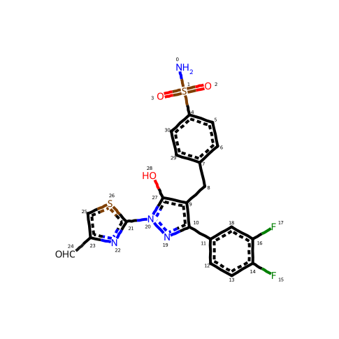 NS(=O)(=O)c1ccc(Cc2c(-c3ccc(F)c(F)c3)nn(-c3nc(C=O)cs3)c2O)cc1